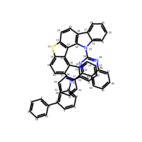 c1ccc(-c2cccc(-n3c4ccccc4c4c5c(ccc43)sc3ccc4c6ccccc6n(-c6nc(-c7ccccc7)c7ccccc7n6)c4c35)c2)cc1